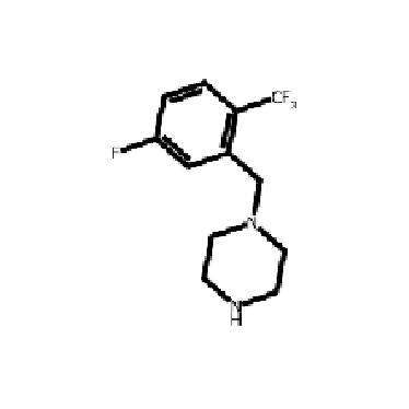 Fc1ccc(C(F)(F)F)c(CN2CCNCC2)c1